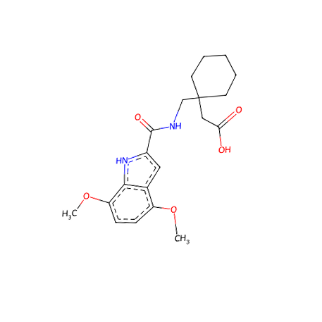 COc1ccc(OC)c2[nH]c(C(=O)NCC3(CC(=O)O)CCCCC3)cc12